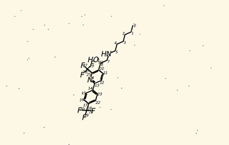 CCCCCCNC[C@@H](O)c1ccc(-c2ccc(C(F)(F)F)cc2)nc1C(F)(F)F